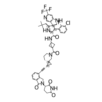 CC(C)(C)C[C@@H]1N[C@@H](C(=O)NC23CC(C(=O)N4CCC[C@@]5(C[C@@H]5C#Cc5cccc6c5CN(C5CCC(=O)NC5=O)C6=O)C4)(C2)C3)[C@H](c2cccc(Cl)c2F)[C@]12CNc1cc(C(F)(F)F)ncc12